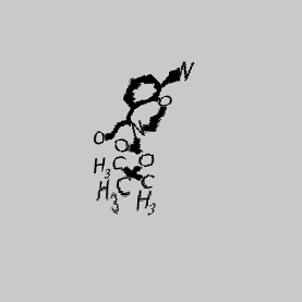 CC(C)(C)OC(=O)N1CCOc2c(C#N)cccc2C1CC=O